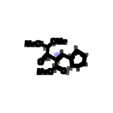 COC(=O)/C(=C\c1ccccc1)C(=O)C(OC)OC